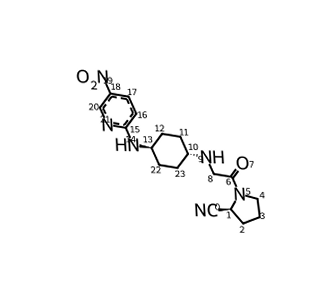 N#C[C@@H]1CCCN1C(=O)CN[C@H]1CC[C@H](Nc2ccc([N+](=O)[O-])cn2)CC1